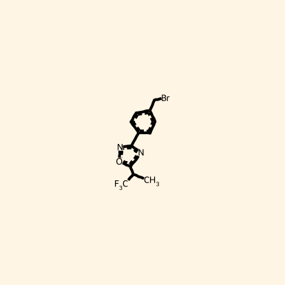 CC(c1nc(-c2ccc(CBr)cc2)no1)C(F)(F)F